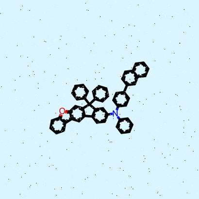 c1ccc(N(c2ccc(-c3ccc4ccccc4c3)cc2)c2ccc3c(c2)C(c2ccccc2)(c2ccccc2)c2cc4oc5ccccc5c4cc2-3)cc1